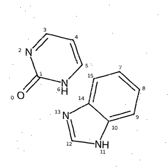 O=c1nccc[nH]1.c1ccc2[nH]cnc2c1